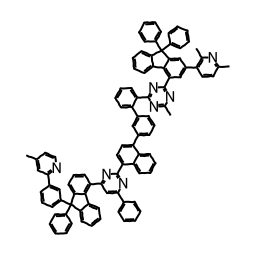 Cc1ccnc(-c2cccc(C3(c4ccccc4)c4ccccc4-c4c(-c5cc(-c6ccccc6)nc(-c6ccc(-c7cccc(-c8ccccc8-c8nc(C)nc(-c9cc(-c%10ccc(C)nc%10C)cc%10c9-c9ccccc9C%10(c9ccccc9)c9ccccc9)n8)c7)c7ccccc67)n5)cccc43)c2)c1